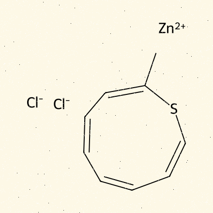 Cc1cccccccs1.[Cl-].[Cl-].[Zn+2]